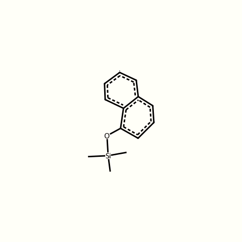 C[Si](C)(C)Oc1cccc2c[c]ccc12